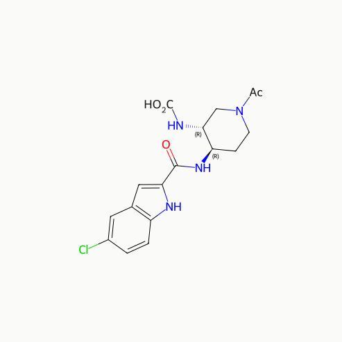 CC(=O)N1CC[C@@H](NC(=O)c2cc3cc(Cl)ccc3[nH]2)[C@H](NC(=O)O)C1